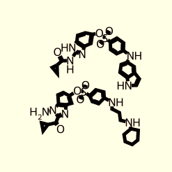 Nn1c(C(=O)C2CC2)nc2cc(OS(=O)(=O)c3ccc(NCCCNC4CCCCC4)cc3)ccc21.O=C(Nc1nc2cc(OS(=O)(=O)c3ccc(Nc4ccc5[nH]ccc5c4)cc3)ccc2[nH]1)C1CC1